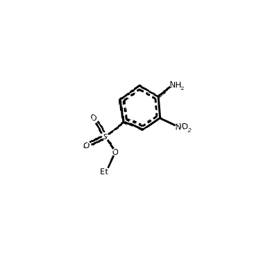 CCOS(=O)(=O)c1ccc(N)c([N+](=O)[O-])c1